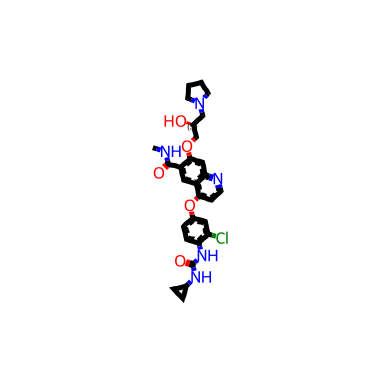 CNC(=O)c1cc2c(Oc3ccc(NC(=O)NC4CC4)c(Cl)c3)ccnc2cc1OC[C@@H](O)CN1CCCC1